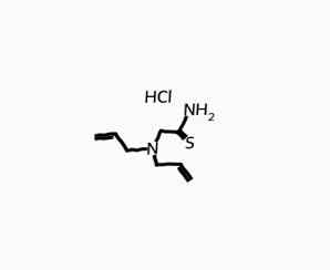 C=CCN(CC=C)CC(N)=S.Cl